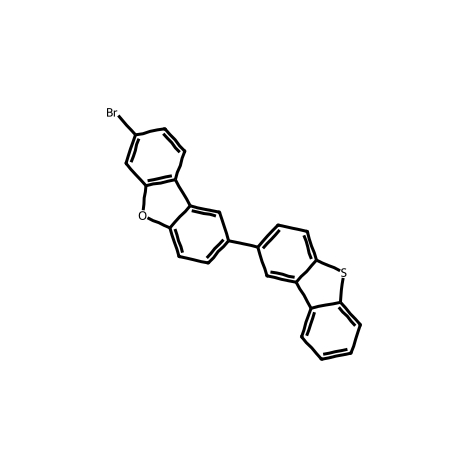 Brc1ccc2c(c1)oc1ccc(-c3ccc4sc5ccccc5c4c3)cc12